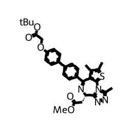 COC(=O)C[C@@H]1N=C(c2ccc(-c3ccc(OCC(=O)OC(C)(C)C)cc3)cc2)c2c(sc(C)c2C)-n2c(C)nnc21